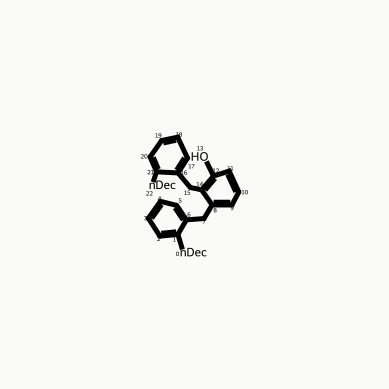 CCCCCCCCCCc1ccccc1Cc1cccc(O)c1Cc1ccccc1CCCCCCCCCC